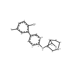 Cc1ccc(Cl)c(-c2cnc(OC3CN4CCC3CC4)nc2)c1